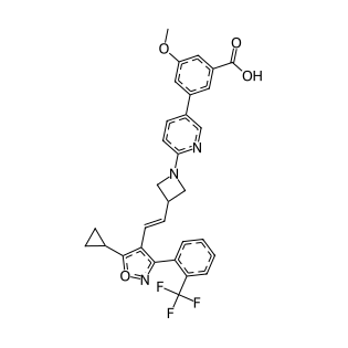 COc1cc(C(=O)O)cc(-c2ccc(N3CC(/C=C/c4c(-c5ccccc5C(F)(F)F)noc4C4CC4)C3)nc2)c1